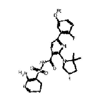 CCOc1ccc(F)c(-c2ccc(C(=O)NS(=O)(=O)C3=C(N)N=CCC3)c(N3C[C@@H](C)CC3(C)C)n2)c1